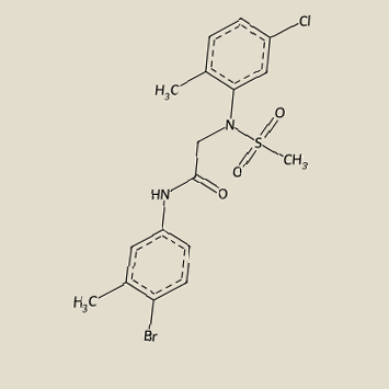 Cc1cc(NC(=O)CN(c2cc(Cl)ccc2C)S(C)(=O)=O)ccc1Br